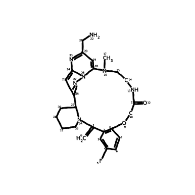 C=C1c2cc(F)ccc2OCC(=O)NCCN(C)c2cc(CN)nc3cc(nn23)C2CCCCN12